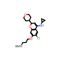 COCCCOc1cc2c(cc1Cl)C(NC1CC1)=CC(C1CCOCC1)O2